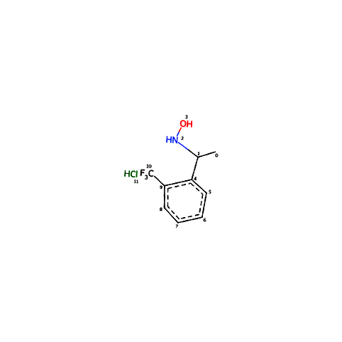 CC(NO)c1ccccc1C(F)(F)F.Cl